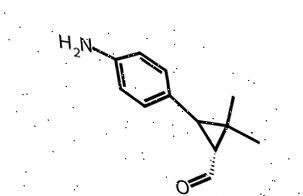 CC1(C)C(c2ccc(N)cc2)[C@H]1C=O